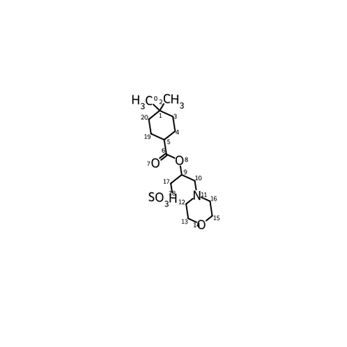 CC1(C)CCC(C(=O)OC(CN2CCOCC2)CS(=O)(=O)O)CC1